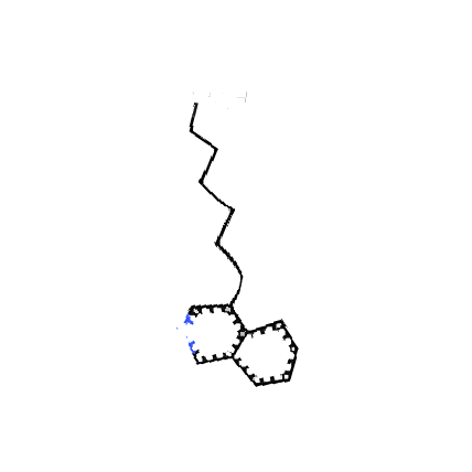 O=C(O)CCCCCCc1cncc2ccccc12